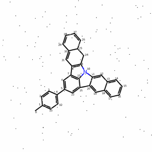 Cc1ccc(-c2cc3c4c(n5c6cc7ccccc7cc6c(c2)c35)CC2C=CC=CC2=C4)cc1